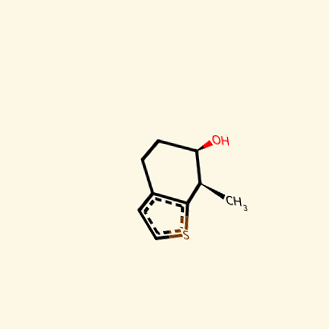 C[C@H]1c2sccc2CC[C@H]1O